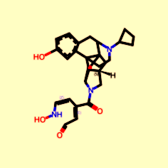 O=C/C=C(\C=C/NO)C(=O)N1C[C@H]2CC34CCC1C2C31CCN(C2CCC2)C4Cc2ccc(O)cc21